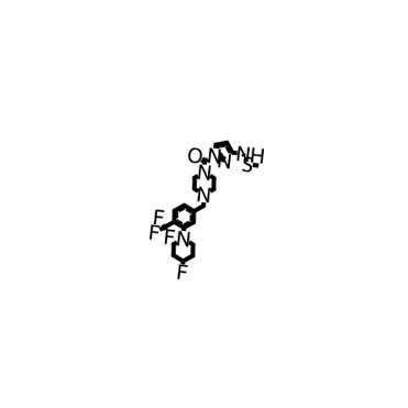 CSNc1ccn(C(=O)N2CCN(Cc3ccc(C(F)(F)F)c(N4CCC(F)CC4)c3)CC2)n1